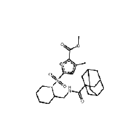 COC(=O)c1oc(S(=O)(=O)N2CCCCC2CNC(=O)C23CC4CC(CC(C4)C2)C3)cc1C